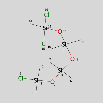 C[Si](C)(Cl)O[Si](C)(C)O[Si](C)(C)O[Si](C)(Cl)Cl